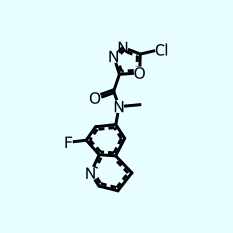 CN(C(=O)c1nnc(Cl)o1)c1cc(F)c2ncccc2c1